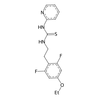 CCOc1cc(F)c(CCNC(=S)Nc2ccccn2)c(F)c1